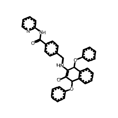 O=C(Nc1ccccn1)c1ccc(CNC2=C(Cl)C(Oc3ccccc3)c3ccccc3C2Oc2ccccc2)cc1